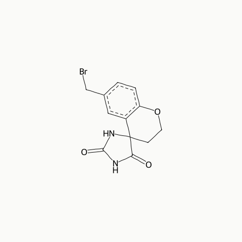 O=C1NC(=O)C2(CCOc3ccc(CBr)cc32)N1